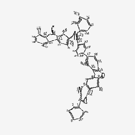 c1ccc(-c2nc3cc4c(cc3o2)oc2ccc(-c3ccc(N(c5ccccc5)c5ccc6c(c5)sc5ccccc56)cc3)cc24)cc1